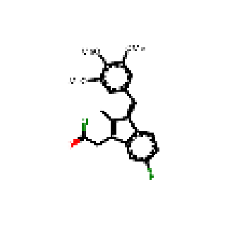 COc1cc(/C=C2\C(C)=C(CC(=O)Cl)c3cc(F)ccc32)cc(OC)c1OC